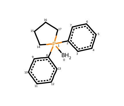 BP1(c2ccccc2)(c2ccccc2)CCCC1